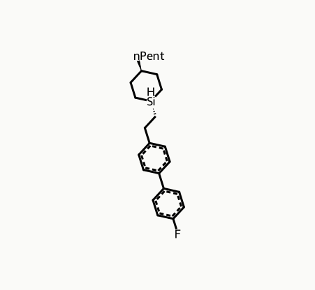 CCCCC[C@H]1CC[Si@H](CCc2ccc(-c3ccc(F)cc3)cc2)CC1